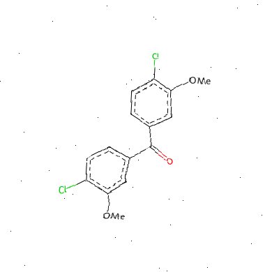 COc1cc(C(=O)c2ccc(Cl)c(OC)c2)ccc1Cl